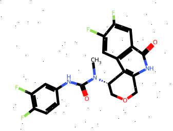 CN(C(=O)Nc1ccc(F)c(F)c1)[C@H]1COCc2[nH]c(=O)c3cc(F)c(F)cc3c21